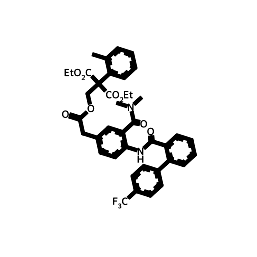 CCOC(=O)C(COC(=O)Cc1ccc(NC(=O)c2ccccc2-c2ccc(C(F)(F)F)cc2)c(C(=O)N(C)C)c1)(C(=O)OCC)c1ccccc1C